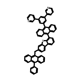 c1ccc(-c2c3ccccc3c(Cc3ccc4c(c3)sc3c(-c5c6ccccc6c(-c6cc(-c7cccnc7)cc(-c7cccnc7)c6)c6ccccc56)cccc34)c3ccccc23)cc1